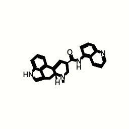 CN1C[C@H](C(=O)Nc2cccc3ncccc23)C=C2c3cccc4[nH]cc(c34)C[C@H]21